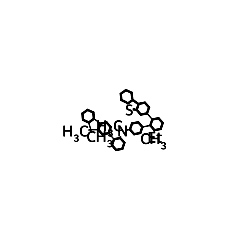 CCc1cccc(-c2ccc3c(c2)sc2ccccc23)c1-c1ccc(N(C)c2ccccc2-c2ccc3c(c2)C(C)(C)c2ccccc2-3)cc1C